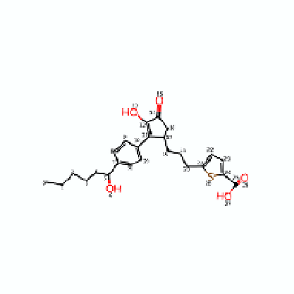 CCCCCC(O)c1ccc(C2=C(O)C(=O)CC2CCCc2ccc(C(=O)O)s2)cc1